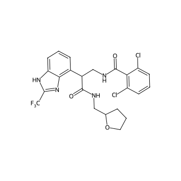 O=C(NCC(C(=O)NCC1CCCO1)c1cccc2[nH]c(C(F)(F)F)nc12)c1c(Cl)cccc1Cl